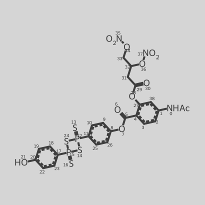 CC(=O)Nc1ccc(C(=O)Oc2ccc(P3(=S)SP(=S)(c4ccc(O)cc4)S3)cc2)c(OC(=O)CC(CO[N+](=O)[O-])O[N+](=O)[O-])c1